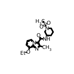 CCOc1cccn2c(C(=O)N[C@H]3CCCN(S(C)(=O)=O)C3)c(C)nc12